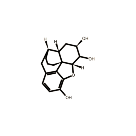 Oc1ccc2c3c1O[C@H]1C(O)[C@H](O)C[C@H]4[C@H](CCC[C@]314)C2